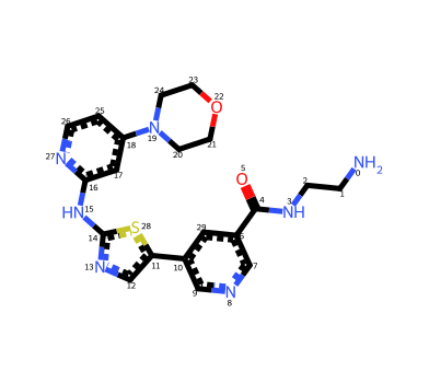 NCCNC(=O)c1cncc(-c2cnc(Nc3cc(N4CCOCC4)ccn3)s2)c1